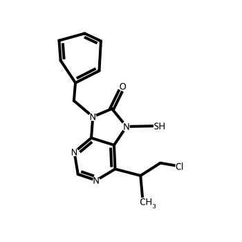 CC(CCl)c1ncnc2c1n(S)c(=O)n2Cc1ccccc1